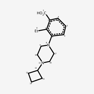 CCc1c(C(=O)O)cccc1N1CCN(C2CCC2)CC1